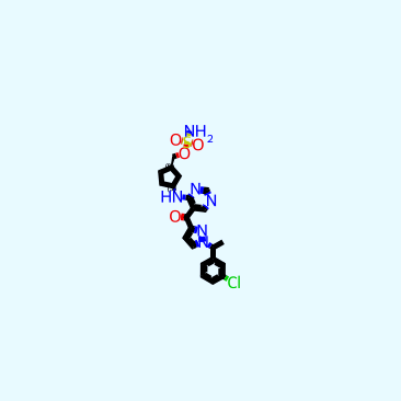 CC(c1cccc(Cl)c1)n1ccc(C(=O)c2cncnc2N[C@H]2CC[C@@H](COS(N)(=O)=O)C2)n1